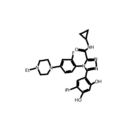 CCN1CCN(c2ccc(-n3c(C(=O)NC4CC4)nnc3-c3cc(C(C)C)c(O)cc3O)c(F)c2)CC1